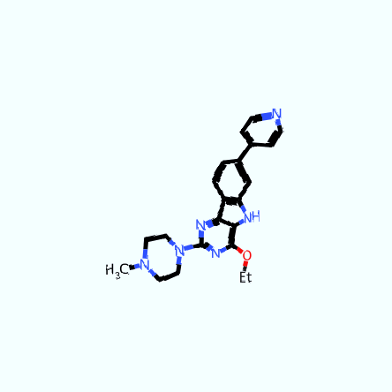 CCOc1nc(N2CCN(C)CC2)nc2c1[nH]c1cc(-c3ccncc3)ccc12